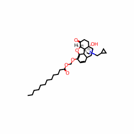 CCCCCCCCCCCC(=O)OCOC1=C2O[C@H]3C(=O)CC[C@@]4(O)C5CC(C=C1)C2[C@@]34CCN5CC1CC1